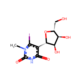 Cn1c(I)c([C@@H]2O[C@H](CO)[C@@H](O)[C@H]2O)c(=O)[nH]c1=O